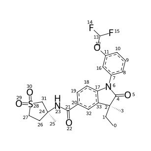 CC[C@]1(C)C(=O)N(c2cccc(OC(F)F)c2)c2ccc(C(=O)N[C@@]3(C)CCS(=O)(=O)C3)cc21